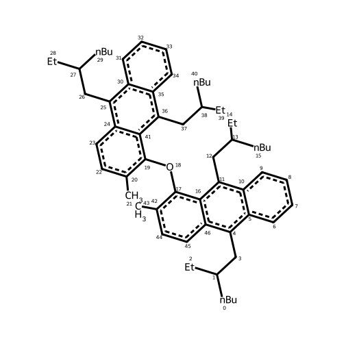 CCCCC(CC)Cc1c2ccccc2c(CC(CC)CCCC)c2c(Oc3c(C)ccc4c(CC(CC)CCCC)c5ccccc5c(CC(CC)CCCC)c34)c(C)ccc12